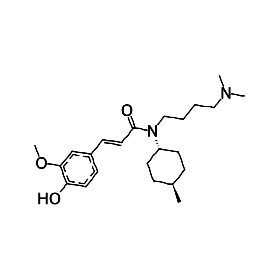 COc1cc(C=CC(=O)N(CCCCN(C)C)[C@H]2CC[C@H](C)CC2)ccc1O